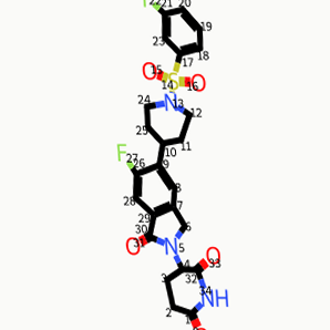 O=C1CCC(N2Cc3cc(C4CCN(S(=O)(=O)c5cccc(F)c5)CC4)c(F)cc3C2=O)C(=O)N1